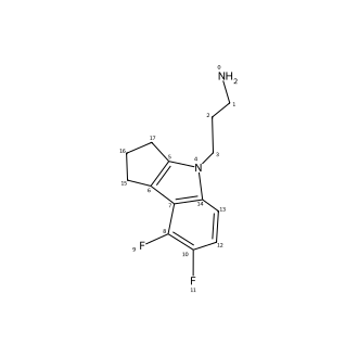 NCCCn1c2c(c3c(F)c(F)ccc31)CCC2